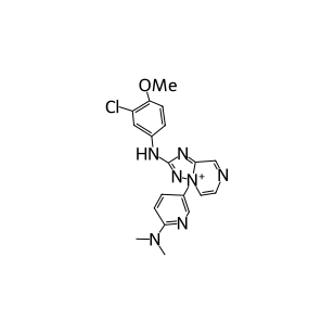 COc1ccc(NC2=N[N+]3(c4ccc(N(C)C)nc4)C=CN=CC3=N2)cc1Cl